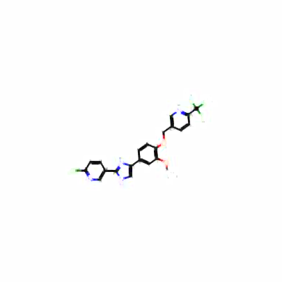 COc1cc(-c2c[nH]c(-c3ccc(Cl)nc3)n2)ccc1OCc1ccc(C(F)(F)F)nc1